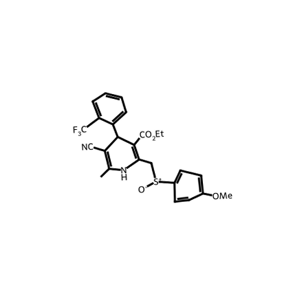 CCOC(=O)C1=C(C[S+]([O-])c2ccc(OC)cc2)NC(C)=C(C#N)C1c1ccccc1C(F)(F)F